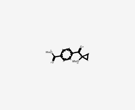 COC(=O)c1ccc(C(=O)C2(OC)CC2)cc1